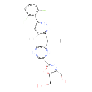 CC(C)c1cc(-c2c(F)cccc2F)nnc1C(C)c1cncc(-c2nc(CO)c(CO)o2)n1